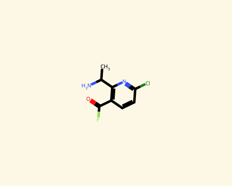 CC(N)c1nc(Cl)ccc1C(=O)F